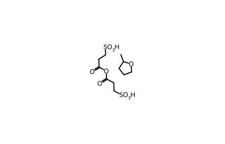 CC1CCCO1.O=C(CCS(=O)(=O)O)OC(=O)CCS(=O)(=O)O